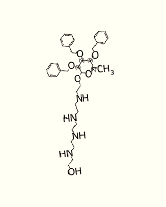 C[C@H]1OC(OCCNCCNCCNCCNCCO)[C@H](OCc2ccccc2)[C@@H](OCc2ccccc2)[C@H]1OCc1ccccc1